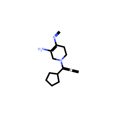 C=C=C(C1CCCC1)N1CCC(N=C)=C(N)C1